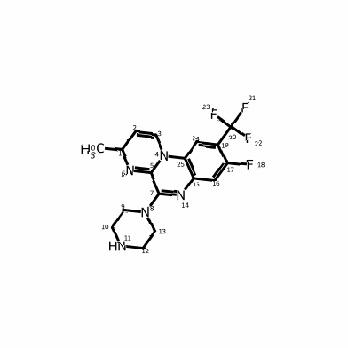 CC1C=CN2C(=N1)C(N1CCNCC1)=Nc1cc(F)c(C(F)(F)F)cc12